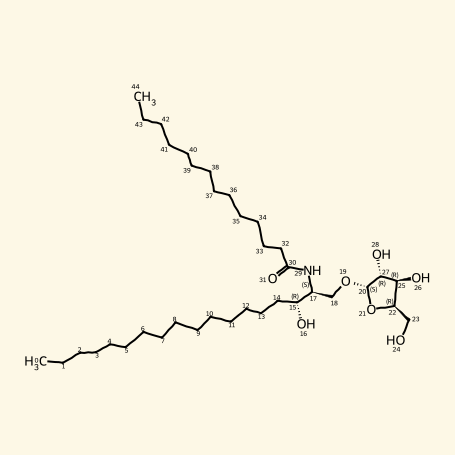 CCCCCCCCCCCCCCC[C@@H](O)[C@H](CO[C@H]1O[C@H](CO)[C@H](O)[C@H]1O)NC(=O)CCCCCCCCCCCCC